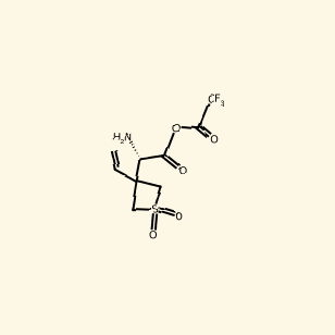 C=CC1([C@H](N)C(=O)OC(=O)C(F)(F)F)CS(=O)(=O)C1